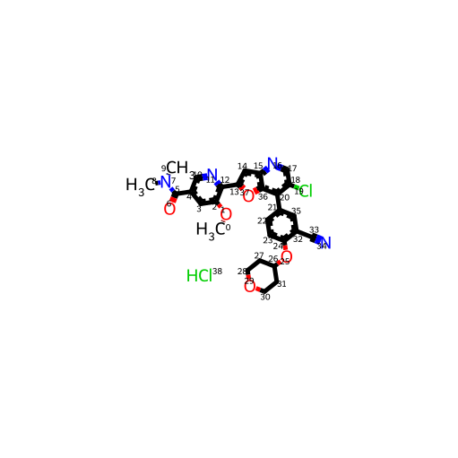 COc1cc(C(=O)N(C)C)cnc1-c1cc2ncc(Cl)c(-c3ccc(OC4CCOCC4)c(C#N)c3)c2o1.Cl